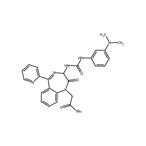 CN(C)c1cccc(NC(=O)NC2N=C(c3ccccn3)c3ccccc3N(CC(=O)C(C)(C)C)C2=O)c1